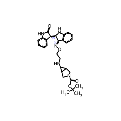 CC(C)(C)OC(=O)N1CC2C(C1)C2NCCO/N=C1/C(=C2/C(=O)Nc3ccccc32)Nc2ccccc21